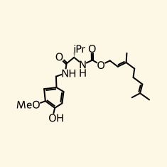 COc1cc(CNC(=O)[C@@H](NC(=O)OC/C=C(\C)CCC=C(C)C)C(C)C)ccc1O